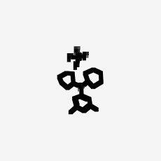 Cc1cc(C)cc(P(C2CCCCC2)C2CCCCC2)c1.F[B-](F)(F)F